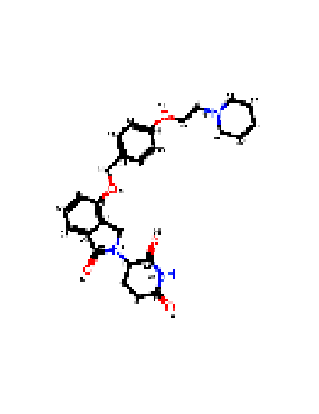 O=C1CCC(N2Cc3c(OCc4ccc(OCCN5CCCCC5)cc4)cccc3C2=O)C(=O)N1